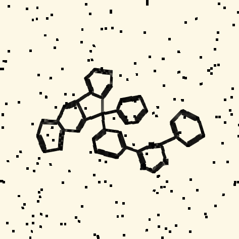 c1ccc(-c2ncnc(-c3cccc(C4(c5ccccc5)c5ccccc5-c5cc6ccccc6cc54)c3)n2)cc1